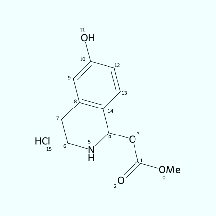 COC(=O)OC1NCCc2cc(O)ccc21.Cl